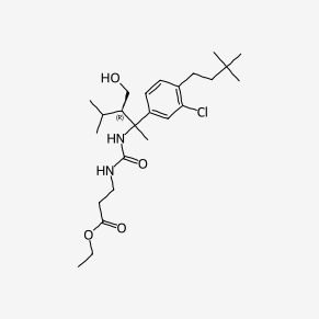 CCOC(=O)CCNC(=O)NC(C)(c1ccc(CCC(C)(C)C)c(Cl)c1)[C@H](CO)C(C)C